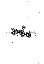 CN(C)CCOc1cc(-c2ccnc(N)c2)ccc1NC(=O)C1COc2c(F)cccc2C1